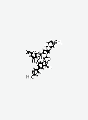 CC(=O)c1nn(CC(=O)N2C3C[C@]3(CN3CCN(C)CC3)C[C@H]2C(=O)Nc2nc(Br)ccc2C)c2c(C)cc(-c3cnc(C)nc3)cc12